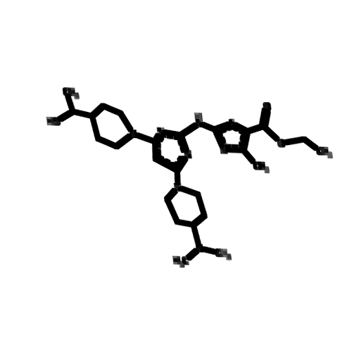 CCOC(=O)c1sc(Nc2nc(N3CCC(C(C)O)CC3)cc(N3CCC(N(C)C)CC3)n2)nc1C